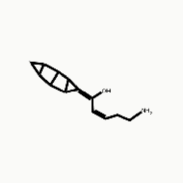 NCC/C=C\C(O)=C1C2C1C1C3CC3C21